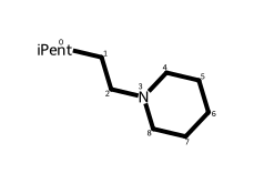 CCCC(C)CCN1CCCCC1